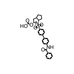 O=C(O)OC1CC2CCCC2N1S(=O)(=O)c1ccc(-c2ccc(NC(=O)c3ccccc3)cc2)cc1